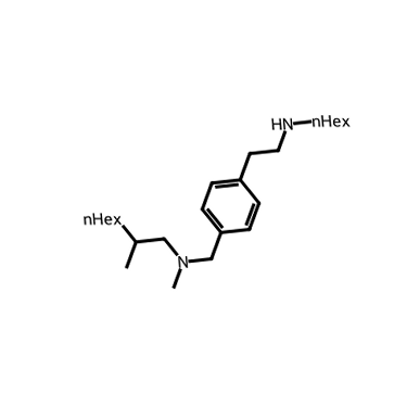 CCCCCCNCCc1ccc(CN(C)CC(C)CCCCCC)cc1